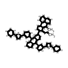 C=C/C=c1/c(-c2ccc3c(-c4cccc(-c5ccc(-c6ccccc6)s5)c4)c4ccccc4c(-c4cccc(-c5ccc(-c6ccccc6)s5)c4)c3c2)ccc2c1c(C)c1cccc3cccc2c31